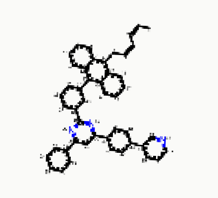 C/C=C\C=C/Cc1c2ccccc2c(-c2cccc(-c3nc(-c4ccccc4)cc(-c4ccc(-c5cccnc5)cc4)n3)c2)c2ccccc12